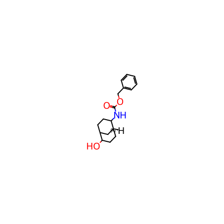 O=C(NC1CCC2C[C@H]1CCC2O)OCc1ccccc1